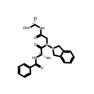 CC[C@@H](C=O)NC(=O)CN(C(=O)[C@@H](NC(=O)c1ccccc1)C(C)C)N1Cc2ccccc2C1